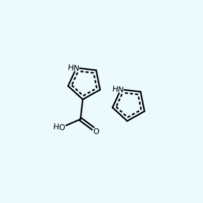 O=C(O)c1cc[nH]c1.c1cc[nH]c1